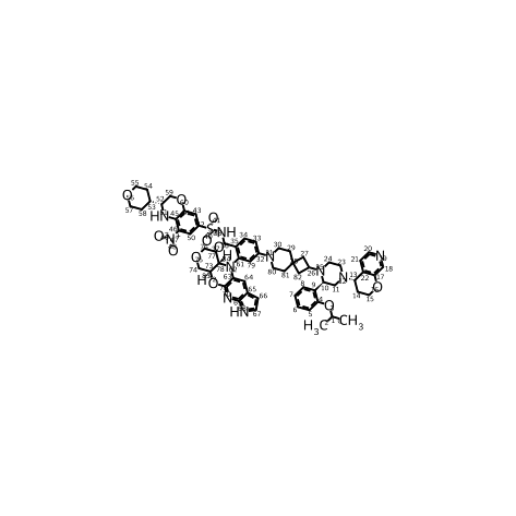 CC(C)Oc1ccccc1[C@@H]1CN([C@H]2CCOc3cnccc32)CCN1C1CC2(CCN(c3ccc(C(=O)NS(=O)(=O)c4cc5c(c([N+](=O)[O-])c4)N[C@H](C4CCOCC4)CO5)c(N4c5cc6cc[nH]c6nc5O[C@H]5COCC[C@@H]54)c3)CC2)C1